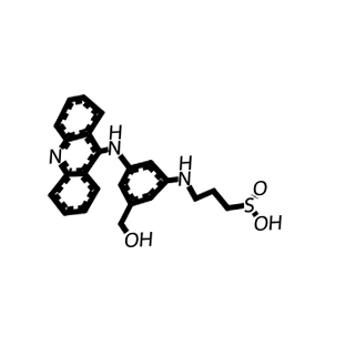 O=S(O)CCCNc1cc(CO)cc(Nc2c3ccccc3nc3ccccc23)c1